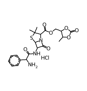 CC1OC(=O)OC1COC(=O)C1N2C(=O)C(NC(=O)C(N)c3ccccc3)C2SC1(C)C.Cl